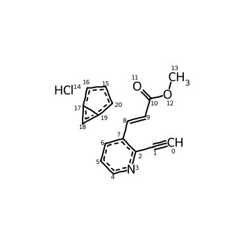 C#Cc1ncccc1C=CC(=O)OC.Cl.c1cc2cc-2c1